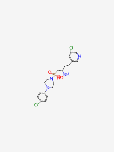 O=S(=O)(CC(CCc1cncc(Cl)c1)NO)N1CCN(c2ccc(Cl)cc2)CC1